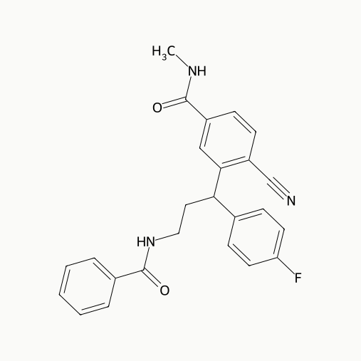 CNC(=O)c1ccc(C#N)c(C(CCNC(=O)c2ccccc2)c2ccc(F)cc2)c1